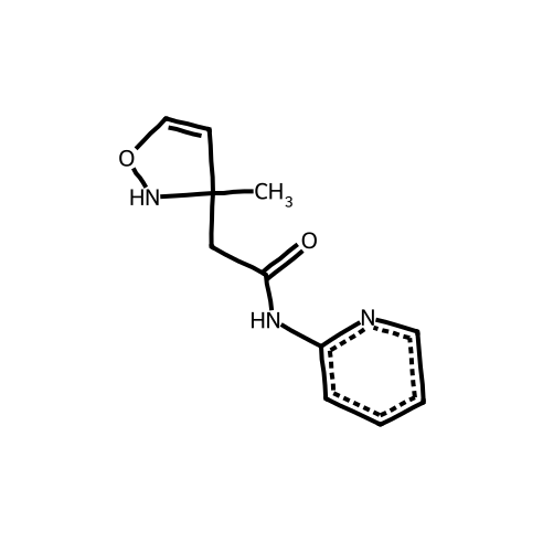 CC1(CC(=O)Nc2ccccn2)C=CON1